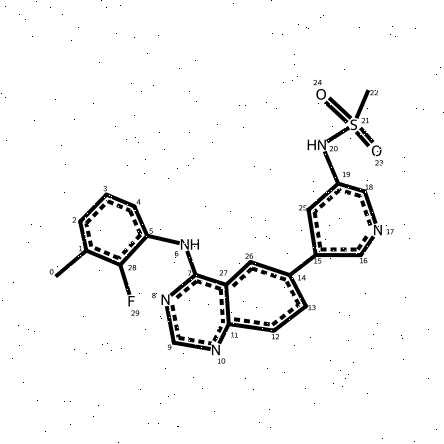 Cc1cccc(Nc2ncnc3ccc(-c4cncc(NS(C)(=O)=O)c4)cc23)c1F